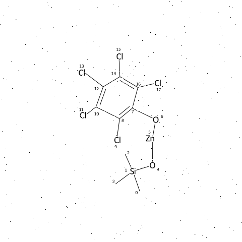 C[Si](C)(C)[O][Zn][O]c1c(Cl)c(Cl)c(Cl)c(Cl)c1Cl